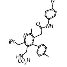 Cc1ccc(-c2c(CC(=O)Nc3ccc(N(C)C)cc3)c(C)nc(CC(C)C)c2CNC(=O)O)cc1